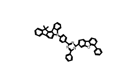 CC1(C)c2ccccc2-c2ccc3c(c21)c1ccccc1n3-c1ccc(-c2nc(-c3ccccc3)nc(-c3ccc4c(c3)oc3c(-c5ccccc5)cccc34)n2)cc1